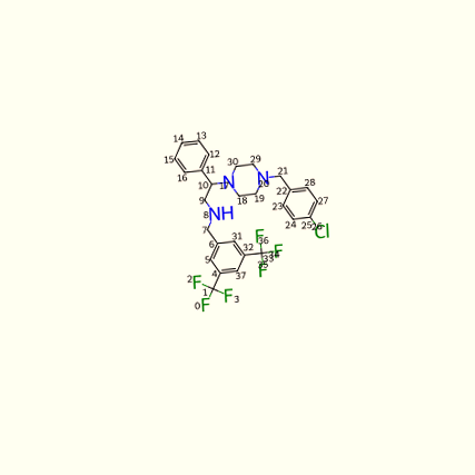 FC(F)(F)c1cc(CNCC(c2ccccc2)N2CCN(Cc3ccc(Cl)cc3)CC2)cc(C(F)(F)F)c1